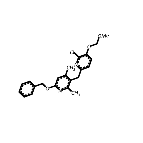 COCOc1ccc(Cc2c(C)cc(OCc3ccccc3)nc2C)nc1Cl